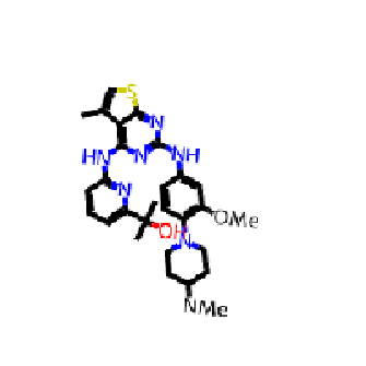 CNC1CCN(c2ccc(Nc3nc(Nc4cccc(C(C)(C)O)n4)c4c(C)csc4n3)cc2OC)CC1